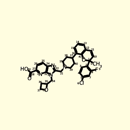 CC1(c2ccc(Cl)cc2F)C=Cc2cccc(C3CCN(Cc4nc5ccc(C(=O)O)nc5n4CC4CCO4)CC3)c2O1